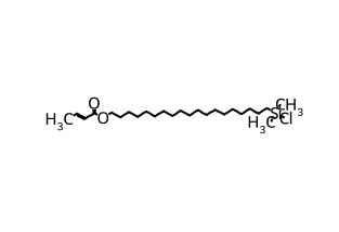 CC=CC(=O)OCCCCCCCCCCCCCCCCCCC[Si](C)(C)Cl